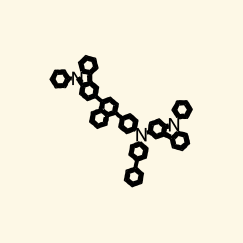 c1ccc(-c2ccc(N(c3ccc(-c4ccc(-c5ccc6c(c5)c5ccccc5n6-c5ccccc5)c5ccccc45)cc3)c3ccc4c(c3)c3ccccc3n4-c3ccccc3)cc2)cc1